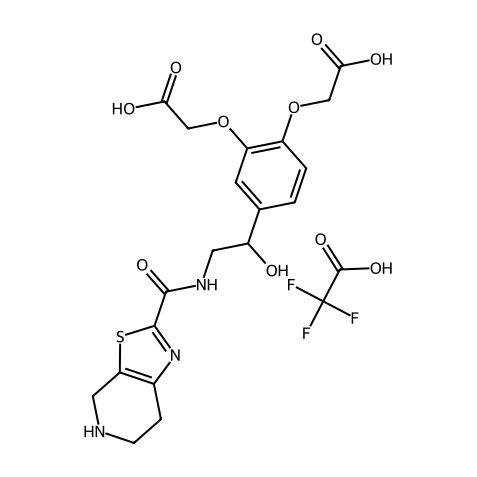 O=C(O)C(F)(F)F.O=C(O)COc1ccc(C(O)CNC(=O)c2nc3c(s2)CNCC3)cc1OCC(=O)O